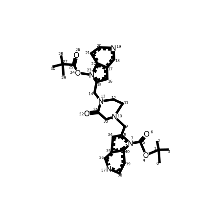 CC(C)(C)OC(=O)n1c(CN2CCN(Cc3cc4cnccc4n3OC(=O)C(C)(C)C)C(=O)C2)cc2cnccc21